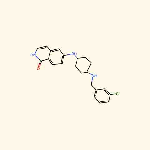 O=c1[nH]ccc2cc(NC3CCC(NCc4cccc(Cl)c4)CC3)ccc12